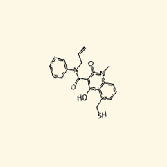 C=CCN(C(=O)c1c(O)c2c(CS)cccc2n(C)c1=O)c1ccccc1